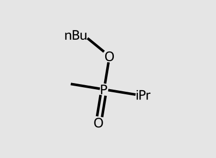 CCCCOP(C)(=O)C(C)C